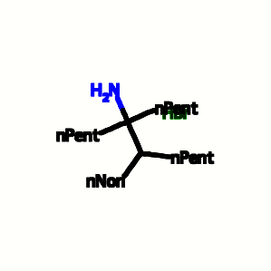 Br.CCCCCCCCCC(CCCCC)C(N)(CCCCC)CCCCC